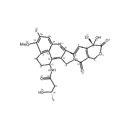 CC[C@@]1(O)C(=O)OCc2c1cc1n(c2=O)Cc2c-1nc1cc(F)c(OC)c3c1c2C(NC(=O)C[C@H](C)O)CC3